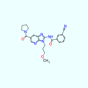 COCCCn1c(NC(=O)c2cccc(C#N)c2)nc2cc(C(=O)N3CCCC3)cnc21